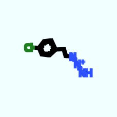 N=[N+]=NCCc1ccc(Cl)cc1